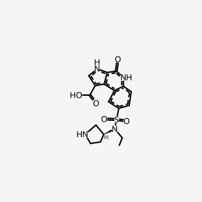 CCN([C@H]1CCNC1)S(=O)(=O)c1ccc2[nH]c(=O)c3[nH]cc(C(=O)O)c3c2c1